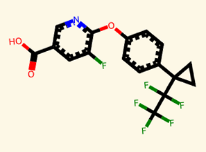 O=C(O)c1cnc(Oc2ccc(C3(C(F)(F)C(F)(F)F)CC3)cc2)c(F)c1